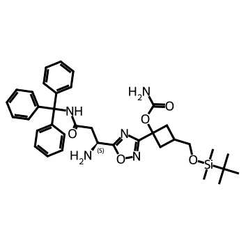 CC(C)(C)[Si](C)(C)OCC1CC(OC(N)=O)(c2noc([C@@H](N)CC(=O)NC(c3ccccc3)(c3ccccc3)c3ccccc3)n2)C1